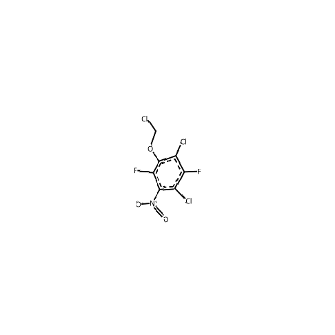 O=[N+]([O-])c1c(F)c(OCCl)c(Cl)c(F)c1Cl